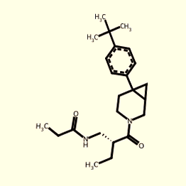 CCC(=O)NC[C@@H](CC)C(=O)N1CCC2(c3ccc(C(C)(C)C)cc3)CC2C1